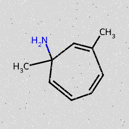 CC1=CC(C)(N)C=CC=C1